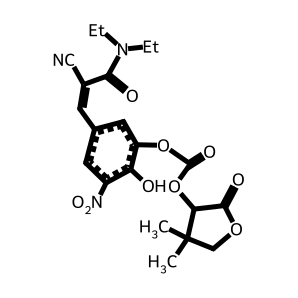 CCN(CC)C(=O)C(C#N)=Cc1cc(OC(=O)OC2C(=O)OCC2(C)C)c(O)c([N+](=O)[O-])c1